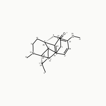 CCOC12CCC(=O)C[C@@]13CCN(C)[C@@H]2Cc1ccc(OC)cc13